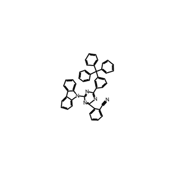 N#Cc1ccccc1-c1nc(-c2cccc(C(c3ccccc3)(c3ccccc3)c3ccccc3)c2)nc(-n2c3ccccc3c3ccccc32)n1